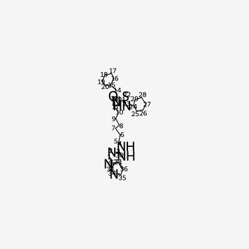 N#CN=C(NCCCCCCCN(OCC1CCCCC1)C(=S)NC1CCCCC1)Nc1ccncc1